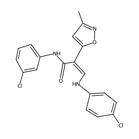 Cc1cc(C(=CNc2ccc(Cl)cc2)C(=O)Nc2cccc(Cl)c2)on1